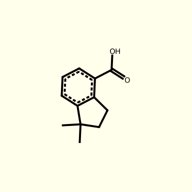 CC1(C)CCc2c(C(=O)O)cccc21